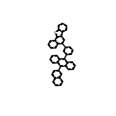 c1cc(-c2c3ccccc3c(-c3ccc4ccccc4c3)c3ccccc23)cc(-c2cc3c4ccccc4sc3c3ccccc23)c1